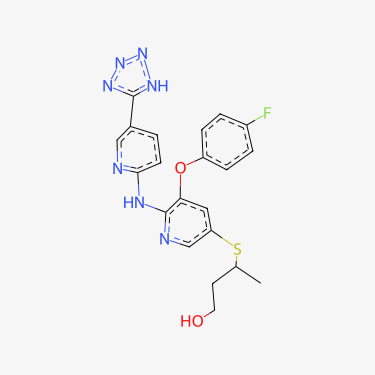 CC(CCO)Sc1cnc(Nc2ccc(-c3nnn[nH]3)cn2)c(Oc2ccc(F)cc2)c1